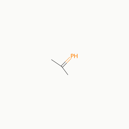 CC(C)=P